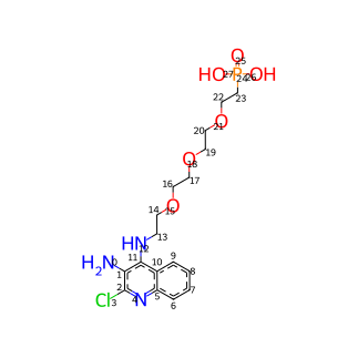 Nc1c(Cl)nc2ccccc2c1NCCOCCOCCOCCP(=O)(O)O